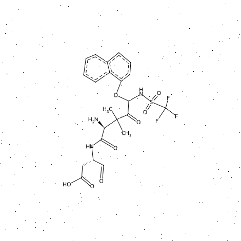 CC(C)(C(=O)C(NS(=O)(=O)C(F)(F)F)Oc1cccc2ccccc12)[C@H](N)C(=O)N[C@H](C=O)CC(=O)O